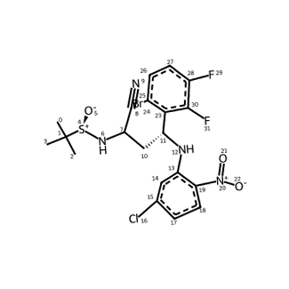 CC(C)(C)[S@@+]([O-])NC(C#N)C[C@@H](Nc1cc(Cl)ccc1[N+](=O)[O-])c1c(Br)ccc(F)c1F